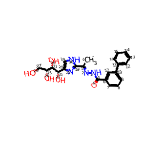 C/C(=N\NC(=O)c1cccc(-c2ccccc2)c1)c1nc([C@@H](O)[C@H](O)[C@H](O)CO)c[nH]1